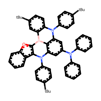 CC(C)(C)c1ccc(N2c3ccc(C(C)(C)C)cc3B3c4oc5ccccc5c4N(c4ccc(C(C)(C)C)cc4)c4cc(N(c5ccccc5)c5ccccc5)cc2c43)cc1